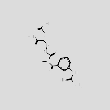 CN(C(=O)NN[C@@H](CC(=O)O)C(N)=O)C(=O)c1cccc(NC(=N)N)c1